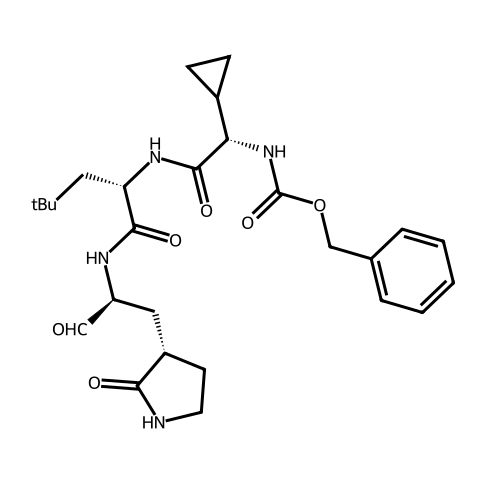 CC(C)(C)C[C@H](NC(=O)[C@@H](NC(=O)OCc1ccccc1)C1CC1)C(=O)N[C@H](C=O)C[C@@H]1CCNC1=O